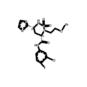 CC(C)OCCN1[C@H](C(=O)Nc2ccc(F)c(Cl)c2)C[C@H](c2nccs2)NS1(=O)=O